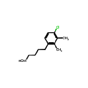 CCCCCCCCCCCCc1ccc(Cl)c(C)c1C